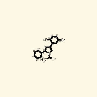 CC(=O)N1C=C(c2cc(Br)ccc2F)CC1c1ccccc1